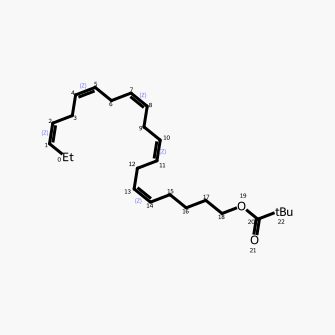 CC/C=C\C/C=C\C/C=C\C/C=C\C/C=C\CCCCOC(=O)C(C)(C)C